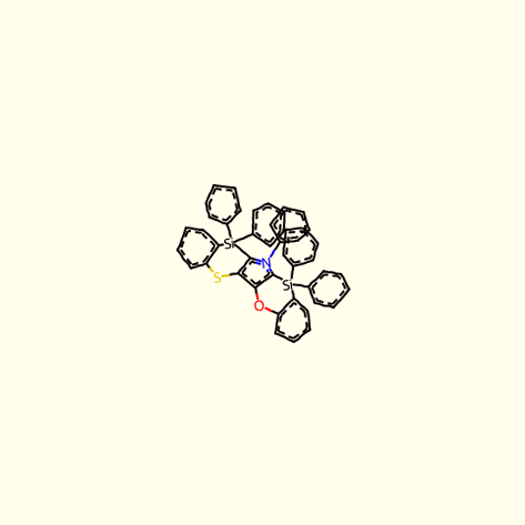 c1ccc(-n2c3c(c4c2[Si](c2ccccc2)(c2ccccc2)c2ccccc2S4)Oc2ccccc2[Si]3(c2ccccc2)c2ccccc2)cc1